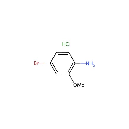 COc1cc(Br)ccc1N.Cl